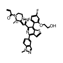 C=CC(=O)N1CCn2nc(-c3nc(-c4ccc5c(cnn5C)c4)c4ccsc4c3-c3c(F)cc(F)cc3OCCO)cc2[C@H]1C